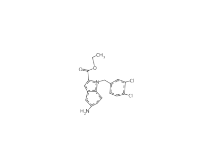 CCOC(=O)c1cc2cc(N)ccc2n1Cc1ccc(Cl)c(Cl)c1